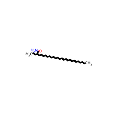 CCCCC/C=C/C=C/C=C/C=C/CCCCCCCCCCCC(CCC)C(N)=O